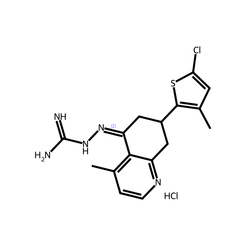 Cc1cc(Cl)sc1C1C/C(=N/NC(=N)N)c2c(C)ccnc2C1.Cl